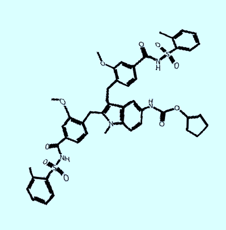 COc1cc(C(=O)NS(=O)(=O)c2ccccc2C)ccc1Cc1c(Cc2ccc(C(=O)NS(=O)(=O)c3ccccc3C)cc2OC)n(C)c2ccc(NC(=O)OC3CCCC3)cc12